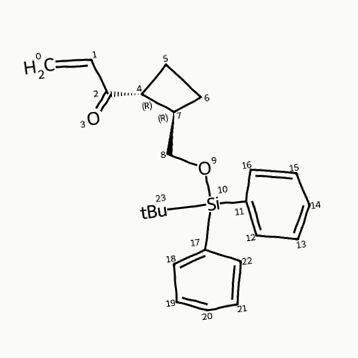 C=CC(=O)[C@@H]1CC[C@H]1CO[Si](c1ccccc1)(c1ccccc1)C(C)(C)C